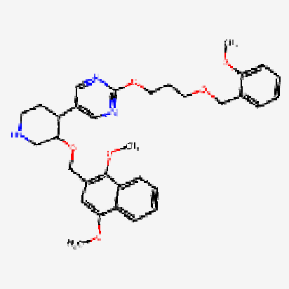 COc1ccccc1COCCCOc1ncc(C2CCNCC2OCc2cc(OC)c3ccccc3c2OC)cn1